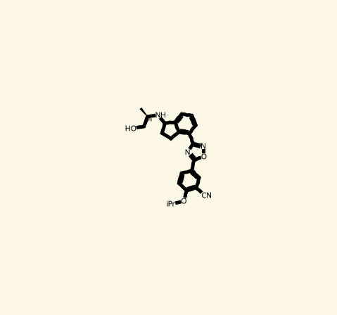 CC(C)Oc1ccc(-c2nc(-c3cccc4c3CCC4N[C@H](C)CO)no2)cc1C#N